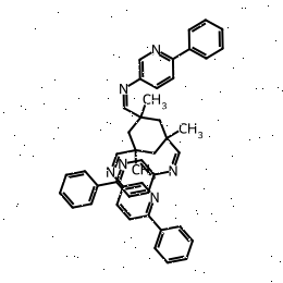 CC1(/C=N\c2ccc(-c3ccccc3)nc2)CC(C)(/C=N\c2ccc(-c3ccccc3)nc2)CC(C)(/C=N\c2ccc(-c3ccccc3)nc2)C1